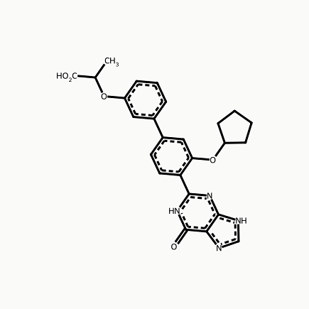 CC(Oc1cccc(-c2ccc(-c3nc4[nH]cnc4c(=O)[nH]3)c(OC3CCCC3)c2)c1)C(=O)O